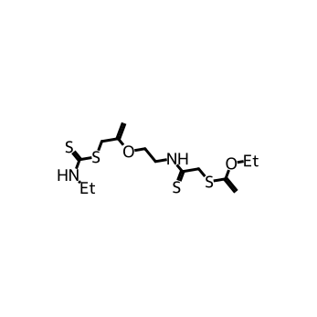 C=C(CSC(=S)NCC)OCCNC(=S)CSC(=C)OCC